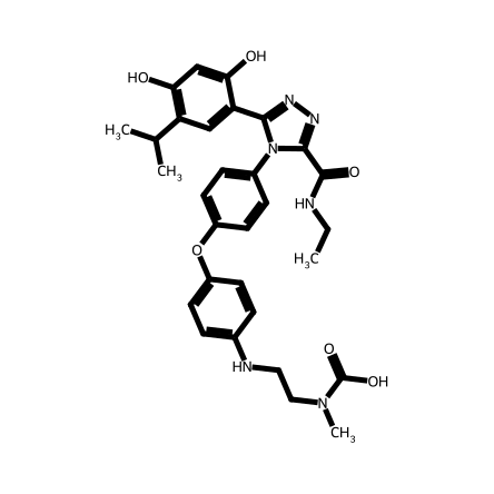 CCNC(=O)c1nnc(-c2cc(C(C)C)c(O)cc2O)n1-c1ccc(Oc2ccc(NCCN(C)C(=O)O)cc2)cc1